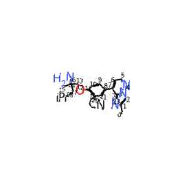 Cc1cn2nccc(-c3ccc(OCC(C)(N)CC(C)C)c(C#N)c3)c2n1